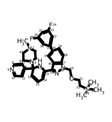 CN1CCN(C2(c3ccncc3)C=CC=C(c3nn(COCC[Si](C)(C)C)c4ccc(-c5cc(F)cc(F)c5)cc34)N2)CC1